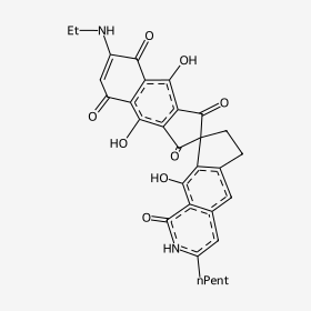 CCCCCc1cc2cc3c(c(O)c2c(=O)[nH]1)C1(CC3)C(=O)c2c(O)c3c(c(O)c2C1=O)C(=O)C(NCC)=CC3=O